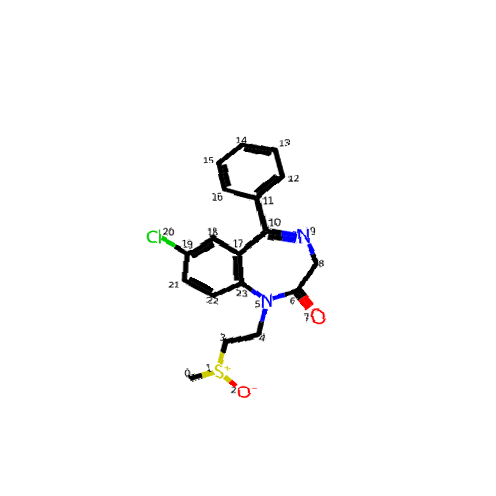 C[S+]([O-])CCN1C(=O)CN=C(c2ccccc2)c2cc(Cl)ccc21